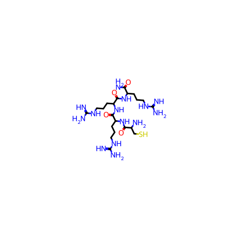 N=C(N)NCCCC(NC(=O)C(CCCNC(=N)N)NC(=O)C(CCCNC(=N)N)NC(=O)C(N)CS)C(N)=O